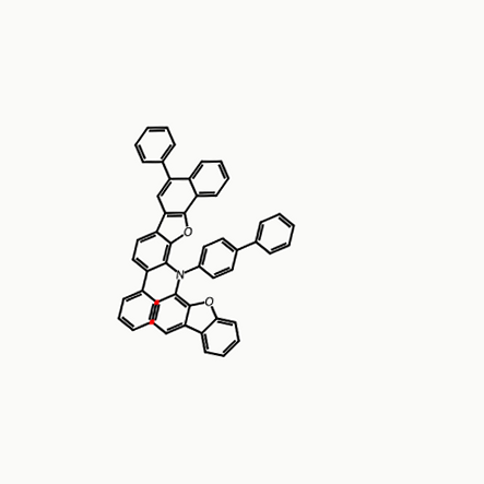 c1ccc(-c2ccc(N(c3cccc4c3oc3ccccc34)c3c(-c4ccccc4)ccc4c3oc3c5ccccc5c(-c5ccccc5)cc43)cc2)cc1